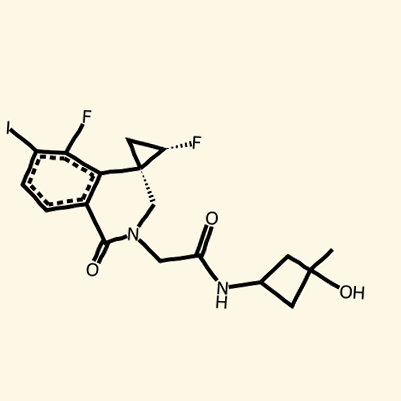 CC1(O)CC(NC(=O)CN2C[C@@]3(C[C@@H]3F)c3c(ccc(I)c3F)C2=O)C1